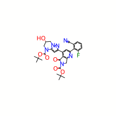 CC(C)(C)OC(=O)N1Cc2nc(-c3c(F)cccc3C#N)cc(-c3cc4n(n3)CC(O)CN4C(=O)OC(C)(C)C)c2C1=O